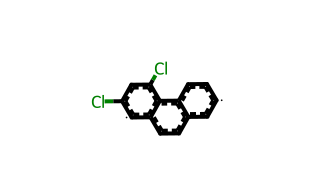 Clc1[c]c2ccc3c[c]ccc3c2c(Cl)c1